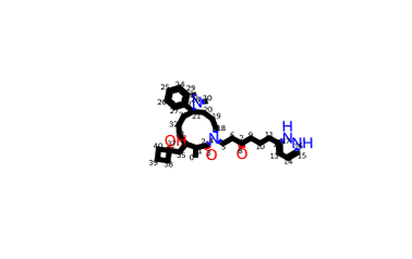 CC1C(=O)N(CCC(=O)CCCC2=CC=CNN2)CCC[C@](c2ccccc2)(N(C)C)CCCC1CC1(O)CCC1